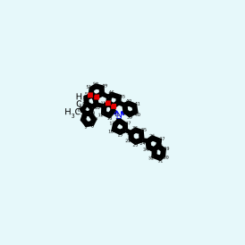 CC1(C)c2ccccc2-c2c(-c3ccc(N(c4cccc(-c5ccc(-c6ccc7ccccc7c6)cc5)c4)c4ccccc4-c4ccc(-c5ccccc5)cc4)cc3)cccc21